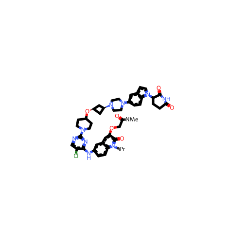 CNC(=O)COc1cc2cc(Nc3nc(N4CCC(O[C@H]5C[C@H](N6CCN(c7ccc8c(ccn8C8CCC(=O)NC8=O)c7)CC6)C5)CC4)ncc3Cl)ccc2n(C(C)C)c1=O